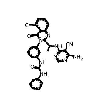 CC(Nc1ncnc(N)c1C#N)c1nc2cccc(Cl)c2c(=O)n1-c1cccc(NC(=O)Nc2ccccc2)c1